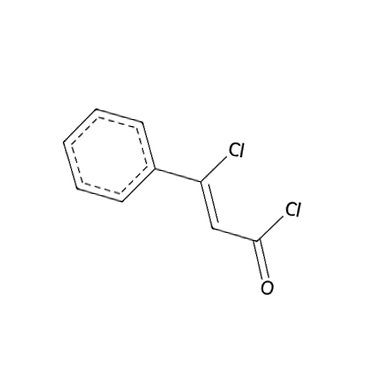 O=C(Cl)/C=C(\Cl)c1ccccc1